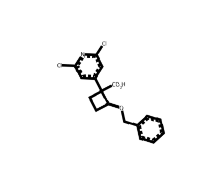 O=C(O)C1(c2cc(Cl)nc(Cl)c2)CCC1OCc1ccccc1